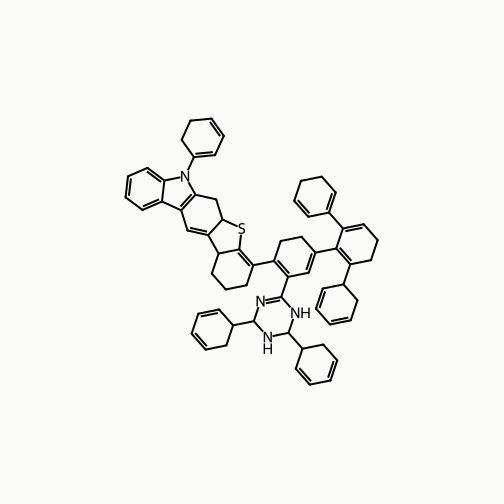 C1=CCCC(n2c3c(c4ccccc42)C=C2C(C3)SC3=C(C4=C(C5=NC(C6C=CC=CC6)NC(C6C=CC=CC6)N5)C=C(C5=C(C6C=CC=CC6)CCC=C5C5=CCCC=C5)CC4)CCCC23)=C1